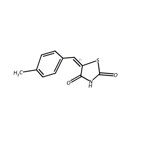 Cc1ccc(/C=C2/SC(=O)NC2=O)cc1